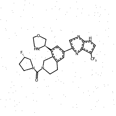 O=C(N1CCc2cc(-c3cnc4[nH]cc(C(F)(F)F)c4n3)cc([C@@H]3COCCN3)c2C1)N1CC[C@H](F)C1